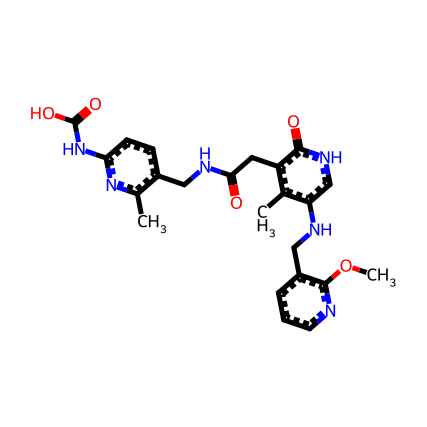 COc1ncccc1CNc1c[nH]c(=O)c(CC(=O)NCc2ccc(NC(=O)O)nc2C)c1C